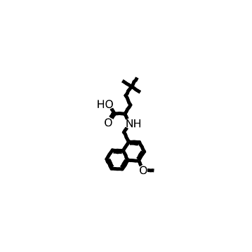 COc1ccc(CNC(CCC(C)(C)C)C(=O)O)c2ccccc12